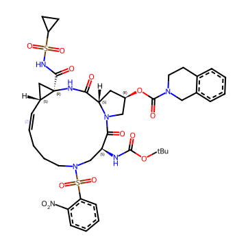 CC(C)(C)OC(=O)N[C@H]1CN(S(=O)(=O)c2ccccc2[N+](=O)[O-])CCC/C=C\[C@@H]2C[C@@]2(C(=O)NS(=O)(=O)C2CC2)NC(=O)[C@@H]2C[C@@H](OC(=O)N3CCc4ccccc4C3)CN2C1=O